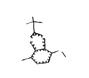 COc1ccc(Br)c2oc(C(F)(F)F)nc12